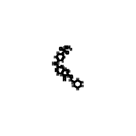 NS(=O)(=O)c1ccc(Nc2ncc3[nH]c(OCC4CCCCC4)nc3n2)cc1